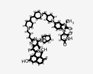 C#Cc1c(F)ccc2cc(O)cc(-c3ncc4c(N5CC6CCC(C5)N6)nc(CCCN5CCC(CC6CCN(CC7CCN(c8ccc9c(c8)n(C)c(=O)n9C8CCC(=O)NC8=O)CC7)CC6)CC5)nc4c3F)c12